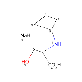 O=C(O)C(CO)NC1CCC1.[NaH]